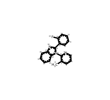 Cc1cccnc1-n1c(-c2ccccc2F)nc2ccccc21